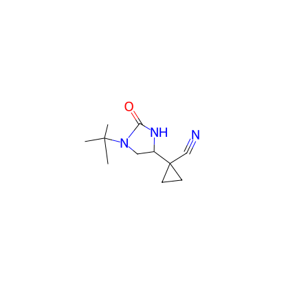 CC(C)(C)N1CC(C2(C#N)CC2)NC1=O